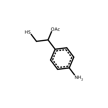 CC(=O)OC(CS)c1ccc(N)cc1